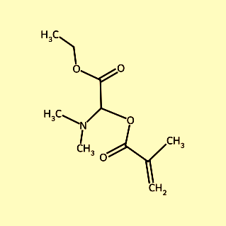 C=C(C)C(=O)OC(C(=O)OCC)N(C)C